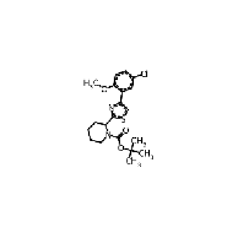 COc1ccc(Cl)cc1-c1csc(C2CCCCN2C(=O)OC(C)(C)C)n1